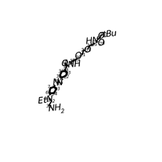 CCN(CCN)c1ccc(/N=N/c2ccc(C(=O)NCCOCCOCCNC(=O)OC(C)(C)C)cc2)cc1